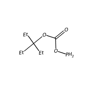 CCC(CC)(CC)OC(=O)OP